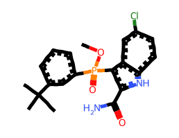 COP(=O)(c1cccc(C(C)(C)C)c1)c1c(C(N)=O)[nH]c2ccc(Cl)cc12